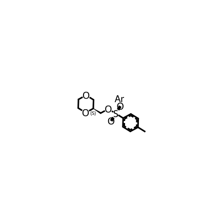 Cc1ccc(S(=O)(=O)OC[C@@H]2COCCO2)cc1.[Ar]